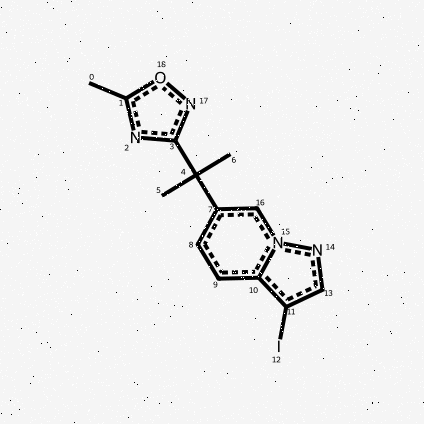 Cc1nc(C(C)(C)c2ccc3c(I)cnn3c2)no1